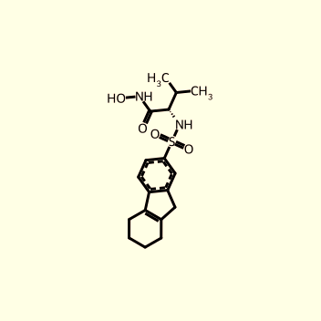 CC(C)[C@H](NS(=O)(=O)c1ccc2c(c1)CC1=C2CCCC1)C(=O)NO